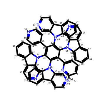 Cc1cccc(-c2c(-n3c4ccccc4c4ccncc43)c(-n3c4ccccc4c4ccncc43)c(-c3ccncc3)c(-n3c4ccccc4c4ccncc43)c2-n2c3ccccc3c3ccncc32)n1